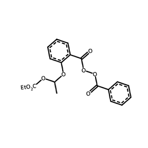 CCOC(=O)OC(C)Oc1ccccc1C(=O)OOC(=O)c1ccccc1